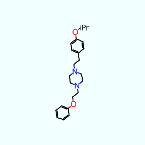 CC(C)Oc1ccc(CCN2CCN(CCOc3ccccc3)CC2)cc1